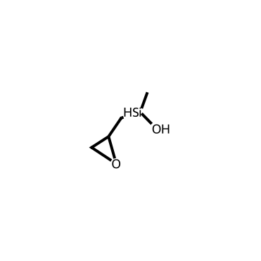 C[SiH](O)CC1CO1